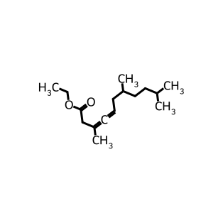 CCOC(=O)CC(C)=C=CCC(C)CCC(C)C